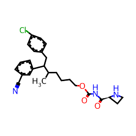 CC(CCCCOC(=O)NC(=O)[C@@H]1CCN1)C(Cc1ccc(Cl)cc1)c1cccc(C#N)c1